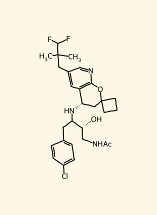 CC(=O)NC[C@@H](O)C(Cc1ccc(Cl)cc1)N[C@H]1CC2(CCC2)Oc2ncc(CC(C)(C)C(F)F)cc21